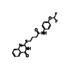 O=C(CCCSc1nc2ccccc2c(=O)[nH]1)Nc1ccc(OC(F)F)cc1